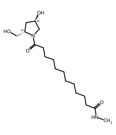 CNC(=O)CCCCCCCCCCC(=O)N1C[C@H](O)C[C@H]1CO